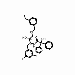 CCc1cccc(CNC[C@@H](O)[C@H](Cc2cc(F)cc(F)c2)NC(=O)C(O)(c2ccccc2)c2cccs2)c1